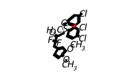 COc1ccc(CC(F)(F)C(=O)CS(C)(=O)(c2ccc(Cl)cc2)c2ccc(Cl)c(Cl)c2)cc1OC